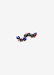 c1cc2c(cn1)oc1ccc(-c3ccnc(-c4ccc5oc6ccc(-c7ccc8oc9ccncc9c8c7)cc6c5c4)n3)cc12